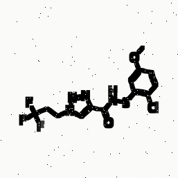 COc1ccc(Cl)c(SNC(=O)c2cn(CCC(F)(F)F)nn2)c1